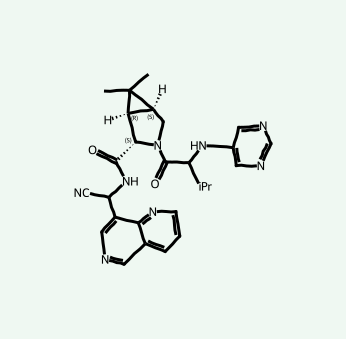 CC(C)C(Nc1cncnc1)C(=O)N1C[C@H]2[C@@H]([C@H]1C(=O)NC(C#N)c1cncc3cccnc13)C2(C)C